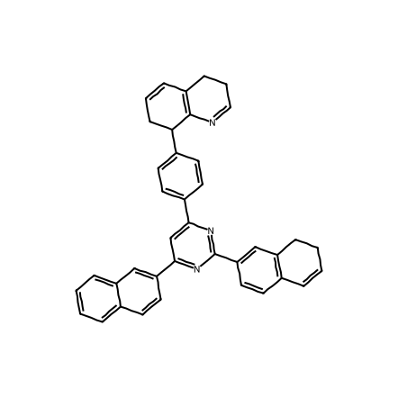 C1=Cc2ccc(-c3nc(-c4ccc(C5CC=CC6=C5N=CCC6)cc4)cc(-c4ccc5ccccc5c4)n3)cc2CC1